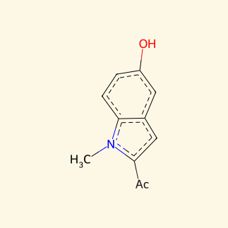 CC(=O)c1cc2cc(O)ccc2n1C